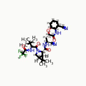 CC(C)(C)[C@H](NC(=O)C(F)(F)F)C(=O)N1C[C@H]2[C@@H]([C@H]1C(=O)N[C@H](C#N)C[C@@H]1Oc3cccc(C#N)c3NC1=O)C2(C)C